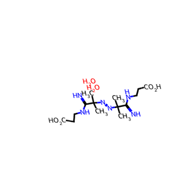 CC(C)(/N=N/C(C)(C)C(=N)NCCC(=O)O)C(=N)NCCC(=O)O.O.O